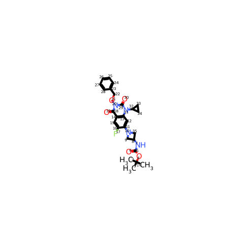 CC(C)(C)OC(=O)NC1CN(c2cc3c(cc2F)c(=O)n(OCc2ccccc2)c(=O)n3C2CC2)C1